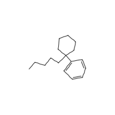 CCCCCC1(c2ccccc2)CCCCC1